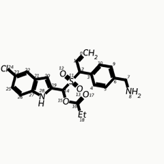 C=CC(c1ccc(CN)cc1)S(=O)(=O)C(OC(=O)CC)c1cc2cc(Cl)ccc2[nH]1